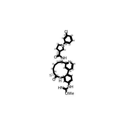 COC(=N)Nc1ccc2c(c1)NC(=O)[C@H](C)CCC[C@H](NC(=O)C1CCN(c3cccc(Cl)c3)C1)c1cc-2ccn1